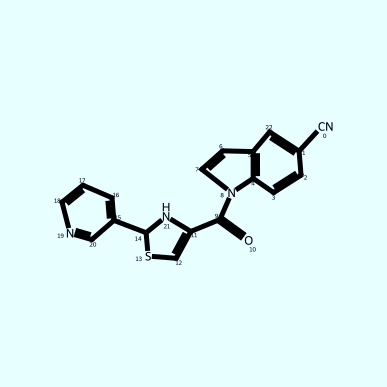 N#Cc1ccc2c(ccn2C(=O)C2=CSC(c3cccnc3)N2)c1